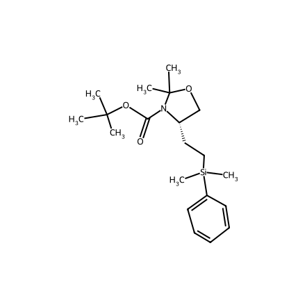 CC(C)(C)OC(=O)N1[C@@H](CC[Si](C)(C)c2ccccc2)COC1(C)C